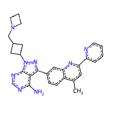 Cc1cc(-c2ccccn2)nc2cc(-c3nn(C4CC(CN5CCC5)C4)c4ncnc(N)c34)ccc12